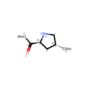 COC(=O)[C@@H]1C[C@@H](OC)CN1